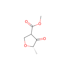 COC(=O)C1CO[C@@H](C)C1=O